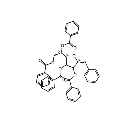 O=C(OC[C@@H](OC(=O)c1ccccc1)[C@@H]1O[C@@H](Sc2ccccc2)C(OC(=O)c2ccccc2)C1OC(=O)c1ccccc1)c1ccccc1